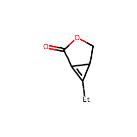 CCC1=C2C(=O)OCC12